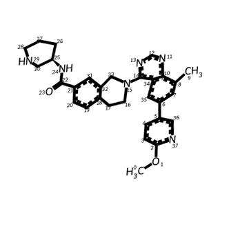 COc1ccc(-c2cc(C)c3ncnc(N4CCc5ccc(C(=O)N[C@@H]6CCCNC6)cc5C4)c3c2)cn1